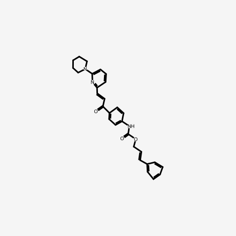 O=C(Nc1ccc(C(=O)C=Cc2cccc(N3CCCCC3)n2)cc1)OCC=Cc1ccccc1